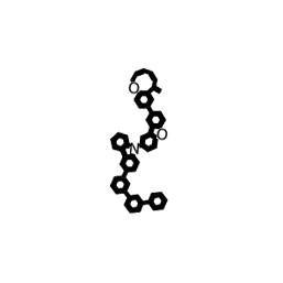 C=C1/C=C\C=C/COc2ccc(-c3ccc4oc5ccc(-n6c7ccccc7c7cc(-c8cccc(-c9cccc(-c%10ccccc%10)c9)c8)ccc76)cc5c4c3)cc21